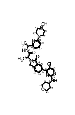 CC(NC(=O)C(C)N1Cc2ccc(-c3nc(NC4CCOCC4)ncc3Cl)cc2C1=O)c1cccc(N2CCN(C)CC2)n1